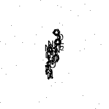 CC(C)N1CCN(C(C)(C)/C=C(/C#N)C(=O)N2CCC[C@@H](n3nc(-c4ccc(Oc5ccccc5)cc4F)c4c(N)ncnc43)C2)CC1